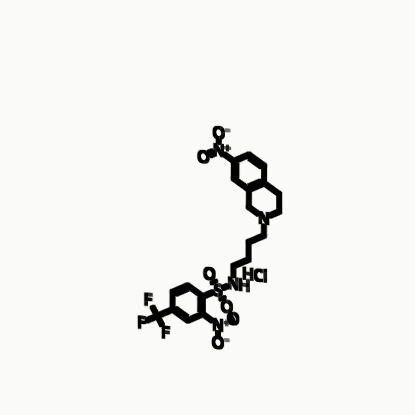 Cl.O=[N+]([O-])c1ccc2c(c1)CN(CCCCNS(=O)(=O)c1ccc(C(F)(F)F)cc1[N+](=O)[O-])CC2